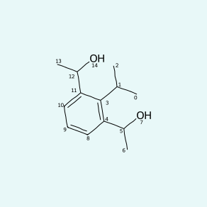 CC(C)c1c(C(C)O)cccc1C(C)O